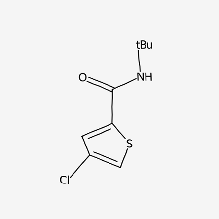 CC(C)(C)NC(=O)c1cc(Cl)cs1